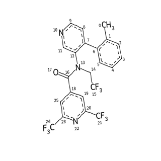 Cc1ccccc1-c1ccncc1N(CC(F)(F)F)C(=O)c1cc(C(F)(F)F)nc(C(F)(F)F)c1